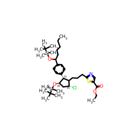 CCCCCC(O[Si](C)(C)C(C)(C)C)c1ccc([C@@H]2C(CCCc3ncc(C(=O)OCC)s3)[C@H](Cl)C[C@H]2O[Si](C)(C)C(C)(C)C)cc1